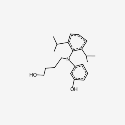 CC(C)c1cccc(C(C)C)c1N(CCCCO)c1cccc(O)c1